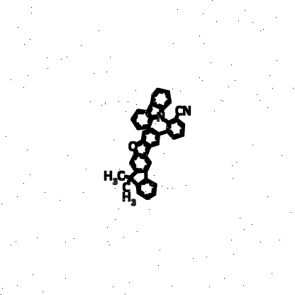 CC1(C)c2ccccc2-c2cc3c(cc21)oc1ccc(-c2cccc(C#N)c2-n2c4ccccc4c4ccccc42)cc13